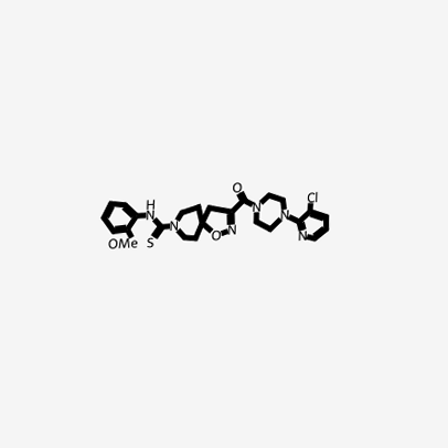 COc1ccccc1NC(=S)N1CCC2(CC1)CC(C(=O)N1CCN(c3ncccc3Cl)CC1)=NO2